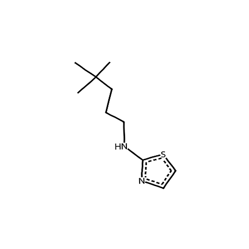 CC(C)(C)CCCNc1nccs1